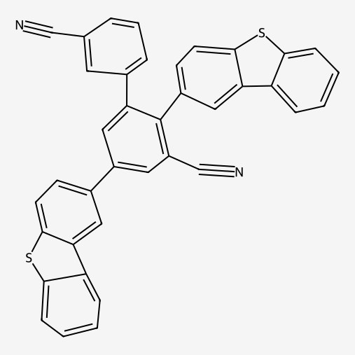 N#Cc1cccc(-c2cc(-c3ccc4sc5ccccc5c4c3)cc(C#N)c2-c2ccc3sc4ccccc4c3c2)c1